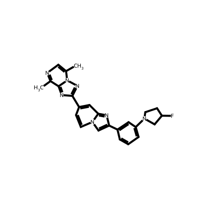 Cc1ncc(C)n2nc(-c3ccn4cc(-c5cccc(N6CCC(F)C6)c5)nc4c3)nc12